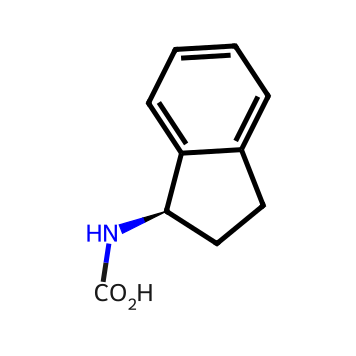 O=C(O)N[C@@H]1CCc2ccccc21